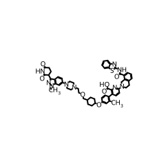 Cc1cc(OC2CCC(COCCN3CCN(c4ccc5c(C6CCC(=O)NC6=O)nn(C)c5c4)CC3)CC2)ccc1-c1ccc(N2CCc3cccc(C(=O)Nc4nc5ccccc5s4)c3C2)nc1C(=O)O